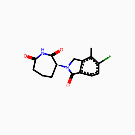 Cc1c(F)ccc2c1CN([C@H]1CCCC(=O)NC1=O)C2=O